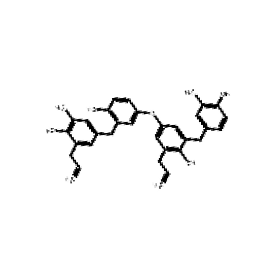 C=CCc1cc(Cc2cc(Oc3cc(CC=C)c(O)c(Cc4ccc(O)c(C)c4)c3)ccc2O)cc(C)c1O